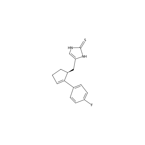 Fc1ccc(C2=CCC[C@H]2Cc2c[nH]c(=S)[nH]2)cc1